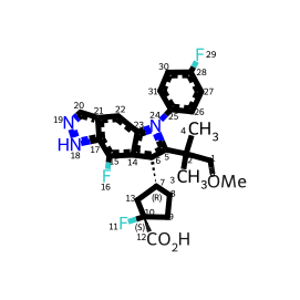 COCC(C)(C)c1c([C@@H]2CC[C@@](F)(C(=O)O)C2)c2c(F)c3[nH]ncc3cc2n1-c1ccc(F)cc1